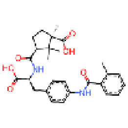 Cc1ccccc1C(=O)Nc1ccc(C[C@H](NC(=O)[C@H]2CC[C@@](C)(C(=O)O)C2(C)C)C(=O)O)cc1